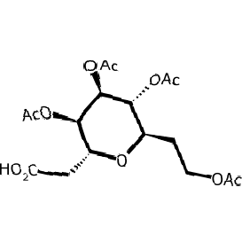 CC(=O)OCC[C@H]1O[C@H](CC(=O)O)[C@@H](OC(C)=O)[C@@H](OC(C)=O)[C@@H]1OC(C)=O